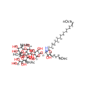 CCCCCCCC/C=C\CCCCCCCCCCCCCCCC(=O)N[C@@H](CO[C@@H]1OC(CO)[C@@H](O[C@@H]2OC(CO)[C@H](O[C@@H]3OC(CO)[C@H](O)[C@H](O)C3NC(C)=O)[C@H](O[C@]3(C(=O)O)CC(O)[C@@H](NC(C)=O)C([C@H](O)[C@H](O)CO)O3)C2O)[C@H](O)C1O)[C@H](O)/C=C/CCCCCCCCCCCCC